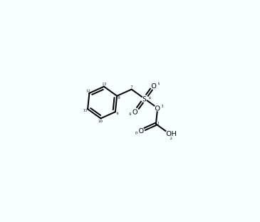 O=C(O)OS(=O)(=O)Cc1ccccc1